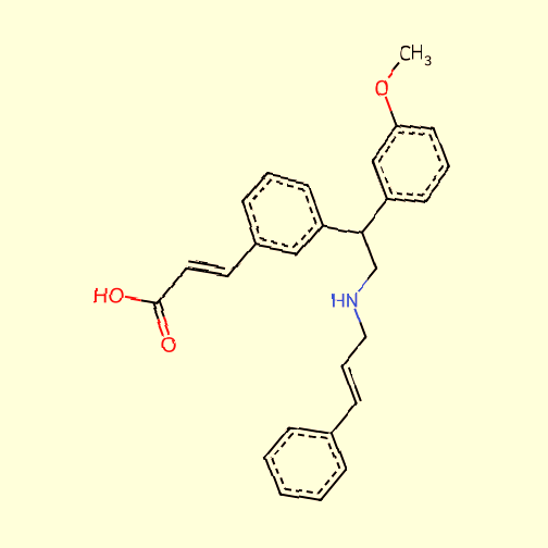 COc1cccc(C(CNCC=Cc2ccccc2)c2cccc(C=CC(=O)O)c2)c1